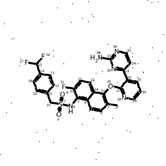 Cc1ccc2c(NS(=O)(=O)Cc3ccc(C(F)F)cc3)c(F)ccc2c1Oc1ncccc1-c1ccnc(N)n1